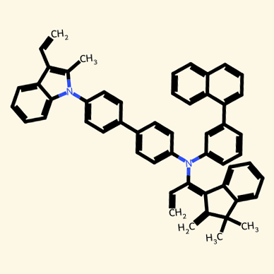 C=C/C(=C1\C(=C)C(C)(C)c2ccccc21)N(c1ccc(-c2ccc(-n3c(C)c(C=C)c4ccccc43)cc2)cc1)c1cccc(-c2cccc3ccccc23)c1